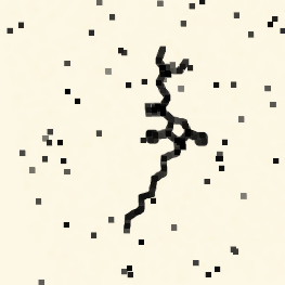 CCCCCCCCCN1C(=O)CC(NCCN(CC)CC)C1=O